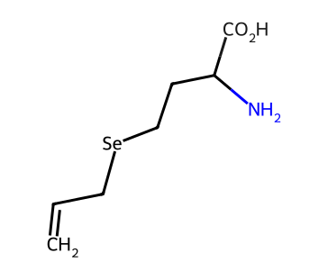 C=CC[Se]CCC(N)C(=O)O